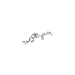 CCOC(=O)CCN1NCc2cc(N)ccc21